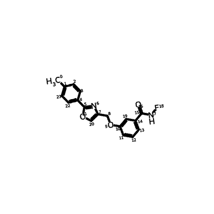 Cc1ccc(-c2nc(COc3cccc(C(=O)NF)c3)co2)cc1